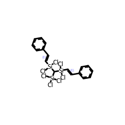 Cl[Si](Cl)(Cl)C([Si](Cl)(Cl)/C=C/c1ccccc1)[Si](Cl)(Cl)/C=C/c1ccccc1